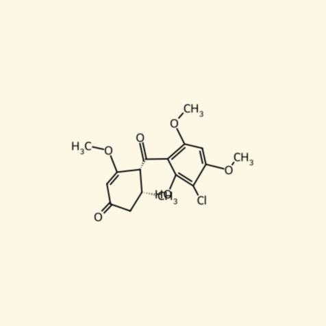 COC1=CC(=O)C[C@@H](C)[C@H]1C(=O)c1c(OC)cc(OC)c(Cl)c1O